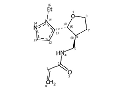 C=CC(=O)NC[C@@H]1CCO[C@H]1c1ccnn1CC